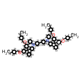 C=Cc1ccc(COC2=CCC(C3(c4ccc(OCc5ccc(C=C)cc5)cc4)c4ccccc4-c4ccc(N(c5ccccc5)c5ccc(-c6ccc(N(c7ccccc7)c7ccc8c(c7)C(c7ccc(OCc9ccc(C=C)cc9)cc7)(c7ccc(OCc9ccc(C=C)cc9)cc7)c7ccccc7-8)cc6)cc5)cc43)C=C2)cc1